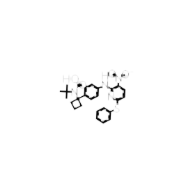 CC(C)(C)N(C(=O)O)C1(c2ccc(Nc3nc(Sc4ccccc4)ccc3[N+](=O)[O-])cc2)CCC1